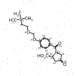 C[Si](C)(C)CCOCOc1ccc(C(=O)N2CC(=O)C[C@H]2C(=O)O)cc1